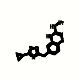 CC(C)NC1=NSc2ccc(Cc3nc(C4CC4)no3)cc2N1